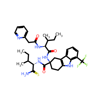 CCC(C)[C@H](NC(=O)Cc1ccccn1)C(=O)N[C@]1(C(=O)N[C@H](C(N)=S)C(C)CC)CCc2[nH]c3c(C(F)(F)F)cccc3c2C1